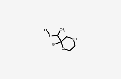 CCOC(C)C1(CC)CNCCO1